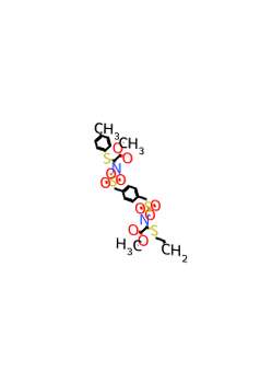 C=CCS/C(=N\OS(=O)(=O)Cc1ccc(CS(=O)(=O)O/N=C(\Sc2ccc(C)cc2)C(=O)OC)cc1)C(=O)OC